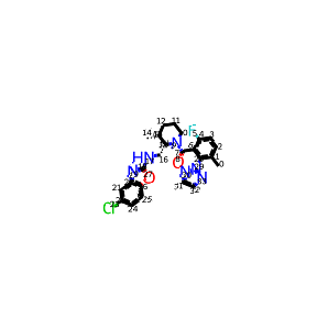 Cc1ccc(F)c(C(=O)N2CCC[C@@H](C)[C@H]2CNc2nc3cc(Cl)ccc3o2)c1-n1nccn1